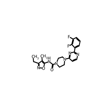 CCc1noc(NC(=O)N2CCN(c3ccnc(-c4cccc(F)c4F)n3)CC2)c1C